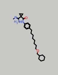 C/N=C(\N)C1(C(=O)Nc2ccc(CCCCCCCCOCC3CCCCC3)cc2)CC1